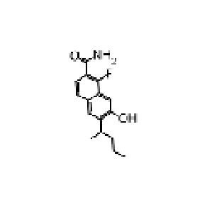 CCCC(C)c1cc2ccc(C(N)=O)c(F)c2cc1O